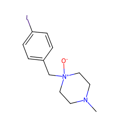 CN1CC[N+]([O-])(Cc2ccc(I)cc2)CC1